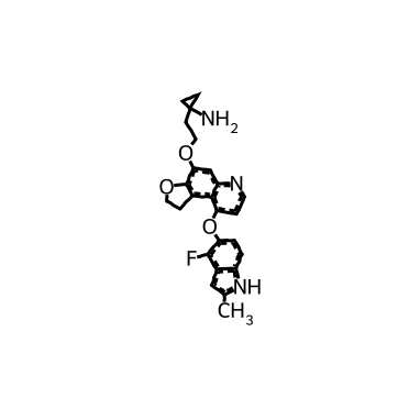 Cc1cc2c(F)c(Oc3ccnc4cc(OCCC5(N)CC5)c5c(c34)CCO5)ccc2[nH]1